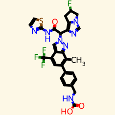 Cc1c(-c2ccc(CNC(=O)O)cc2)cc(C(F)(F)F)c2cn(C(C(=O)Nc3nccs3)c3ncn4c3CC(F)C4)nc12